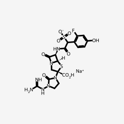 N=C(N)NN1CCN([C@]2(C(=O)O)CN3C(=O)[C@@H](NC(=O)C(c4ccc(O)cc4F)S(=O)(=O)[O-])[C@H]3S2)C1=O.[Na+]